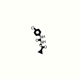 O=C(NOC(=O)C1CC1)Nc1ccc(Cl)cc1